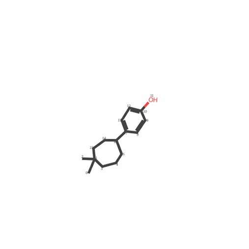 CC1(C)CCCC(c2ccc(O)cc2)CC1